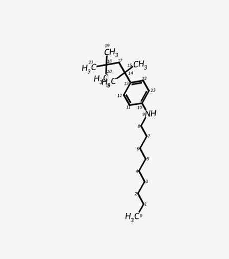 CCCCCCCCCNc1ccc(C(C)(C)CC(C)(C)C)cc1